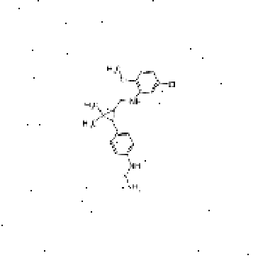 COc1ccc(Cl)cc1NCC1C(c2ccc(NSN)cc2)C1(C)C